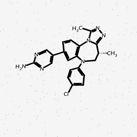 Cc1nnc2n1-c1ccc(-c3cnc(N)nc3)cc1N(c1ccc(Cl)cc1)C[C@H]2C